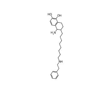 NC1c2ccc(O)c(O)c2CCC1CCCCCCCCNCCc1ccccc1